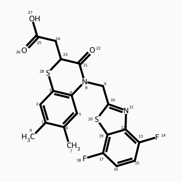 Cc1cc2c(cc1C)N(Cc1nc3c(F)ccc(F)c3s1)C(=O)C(CC(=O)O)S2